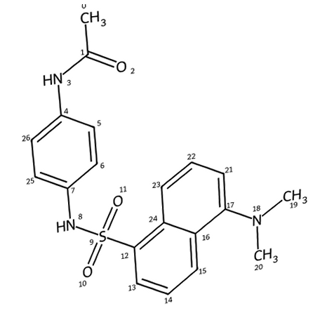 CC(=O)Nc1ccc(NS(=O)(=O)c2cccc3c(N(C)C)cccc23)cc1